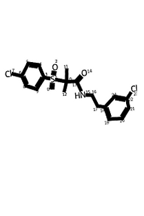 C=S(=O)(c1ccc(Cl)cc1)C(C)(C)C(=O)NCCc1cccc(Cl)c1